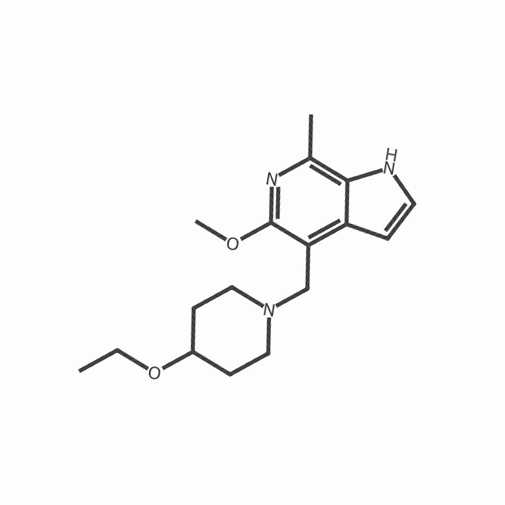 CCOC1CCN(Cc2c(OC)nc(C)c3[nH]ccc23)CC1